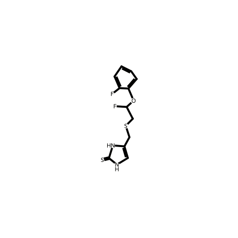 Fc1ccccc1OC(F)CSCc1c[nH]c(=S)[nH]1